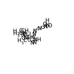 Cc1cc(-c2ncnc3[nH]c4cc(N5CCN(CC6CCN(c7ccc(N8CCC(=O)NC8=O)cc7)CC6)CC5)ccc4c23)ccc1[C@@H](C)NC(=O)c1nc(C(C)(C)C)no1